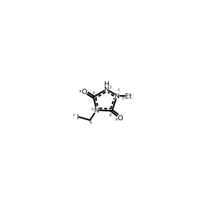 CCn1[nH]c(=O)n(CI)c1=O